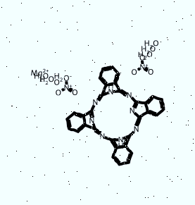 O.O.O.O.O.O.O=[N+]([O-])[O-].O=[N+]([O-])[O-].[Mg+2].c1ccc2c(c1)-c1nc-2nc2[nH]c(nc3nc(nc4[nH]c(n1)c1ccccc41)-c1ccccc1-3)c1ccccc21